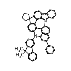 CC1(C)c2ccccc2-c2cc(N(c3cccc(-c4ccccc4)c3)c3ccc4c5c3-c3ccccc3-n3c6ccccc6c6ccc(c-5c63)C43CCCC3)ccc21